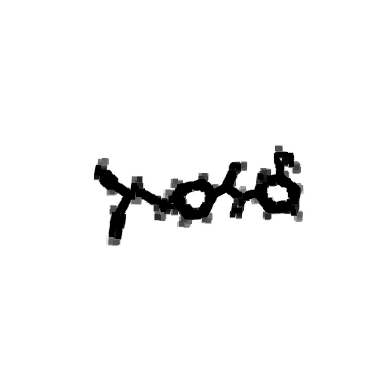 Cc1cncc(NC(=O)c2ccc(NN=C(C#N)C#N)cc2)n1